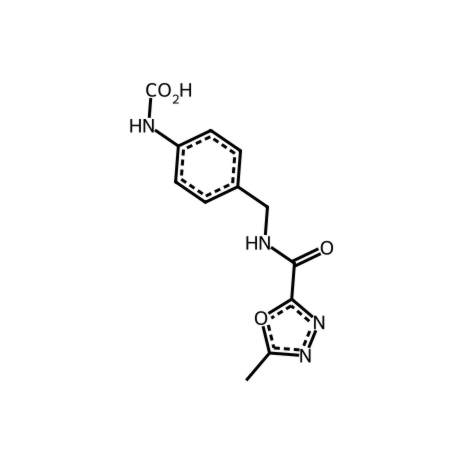 Cc1nnc(C(=O)NCc2ccc(NC(=O)O)cc2)o1